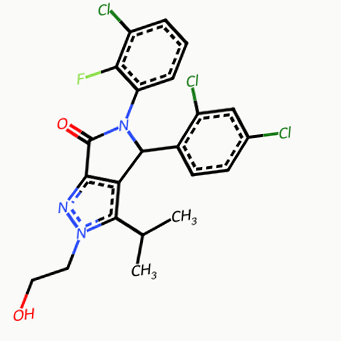 CC(C)c1c2c(nn1CCO)C(=O)N(c1cccc(Cl)c1F)C2c1ccc(Cl)cc1Cl